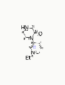 C=C/C(=C\N(C)CC)N1CCNCC1=O